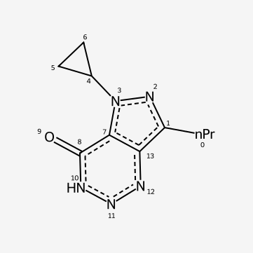 CCCc1nn(C2CC2)c2c(=O)[nH]nnc12